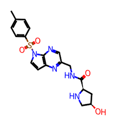 Cc1ccc(S(=O)(=O)n2ccc3nc(CNC(=O)[C@H]4C[C@@H](O)CN4)cnc32)cc1